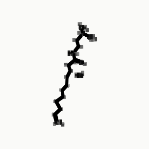 Br.C=CCCCCCCCCC(=O)NCCN(C)C